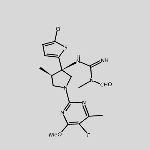 COc1nc(N2C[C@@H](C)[C@](NC(=N)N(C)C=O)(c3ccc(Cl)s3)C2)nc(C)c1F